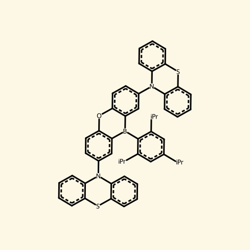 CC(C)c1cc(C(C)C)c(B2c3cc(N4c5ccccc5Sc5ccccc54)ccc3Oc3ccc(N4c5ccccc5Sc5ccccc54)cc32)c(C(C)C)c1